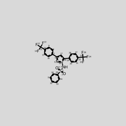 O=S(=O)(Nn1nc(-c2ccc(C(F)(F)F)cc2)cc1-c1ccc(C(F)(F)F)cc1)c1ccccc1